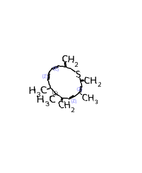 C=C1/C=C\C=C/C(C)[C@H](C)C(=C)/C=C\C(C)=C/C(=C)SC1